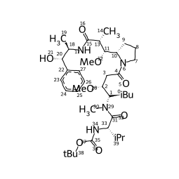 CC[C@H](C)[C@@H]([C@@H](CC(=O)N1CCC[C@H]1[C@H](OC)[C@@H](C)C(=O)N[C@H](C)[C@@H](O)c1ccccc1)OC)N(C)C(=O)[C@@H](NC(=O)OC(C)(C)C)C(C)C